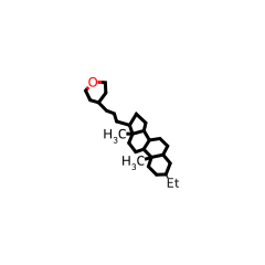 CC[C@@H]1CCC2(C)C(CCC3C4CCC(CCCC5CCOCC5)C4(C)CCC32)C1